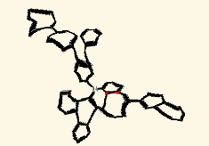 c1ccc(-c2ccc(-c3ccc(N(c4ccccc4)c4c(-c5ccc(-c6ccc7ccccc7c6)cc5)c5ccccc5c5ccccc45)cc3-c3ccccc3)cc2)cc1